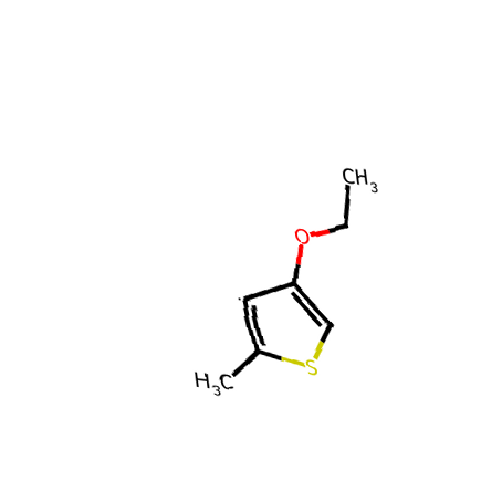 CCOc1[c]c(C)sc1